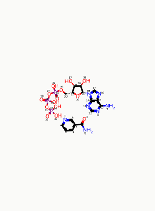 NC(=O)c1cccnc1.Nc1ncnc2c1ncn2[C@@H]1O[C@H](COP(=O)(O)OP(=O)(O)OP(=O)(O)O)[C@@H](O)[C@H]1O